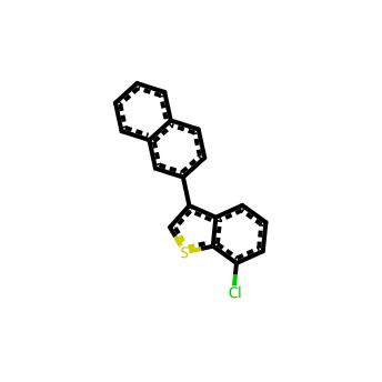 Clc1cccc2c(-c3ccc4ccccc4c3)csc12